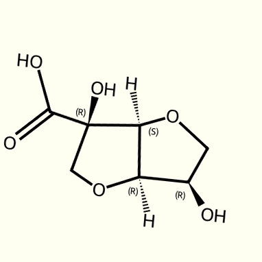 O=C(O)[C@@]1(O)CO[C@@H]2[C@H](O)CO[C@@H]21